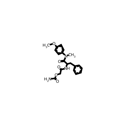 COc1ccc(N(C)C(=O)C(Cc2ccccc2)NC(=O)COC(N)=O)cc1